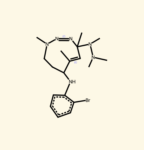 C/C1=C\C(C)(N(C)N(C)C)/N=N\N(C)CCC1Nc1ccccc1Br